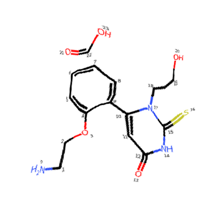 NCCOc1ccccc1-c1cc(=O)[nH]c(=S)n1CCO.O=CO